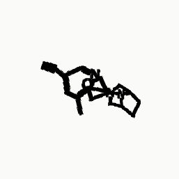 C#Cc1cnc(N2CC3CCC(C2)N3C2COC2)c(C)c1